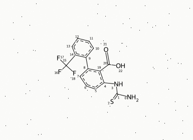 NC(=S)Nc1cccc(-c2ccccc2C(F)(F)F)c1C(=O)O